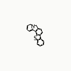 C1=CCN2Cc3ccc4c(sc5ccccc54)c3C2=C1